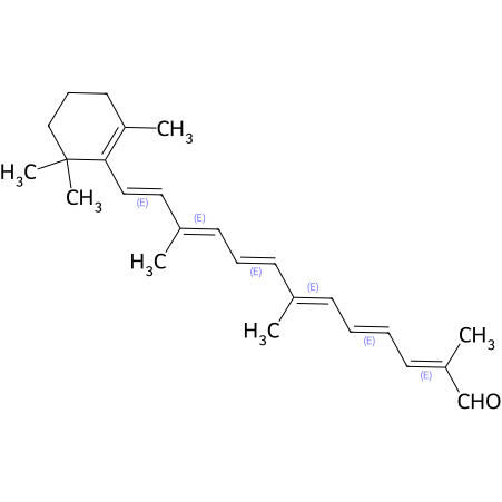 CC1=C(/C=C/C(C)=C/C=C/C(C)=C/C=C/C=C(\C)C=O)C(C)(C)CCC1